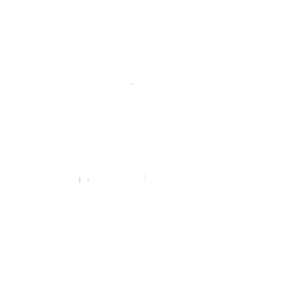 FC(F)=C(F)OC(F)=C(F)F.O=S(O)O